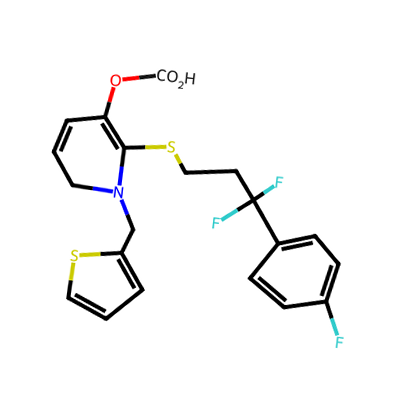 O=C(O)OC1=C(SCCC(F)(F)c2ccc(F)cc2)N(Cc2cccs2)CC=C1